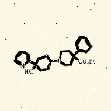 CCOC(=O)C1(c2ccccc2)CCN(C2CCC(C#N)(c3ccccn3)CC2)CC1